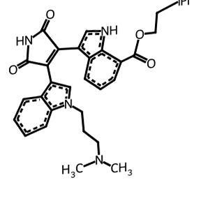 CC(C)CCOC(=O)c1cccc2c(C3=C(c4cn(CCCN(C)C)c5ccccc45)C(=O)NC3=O)c[nH]c12